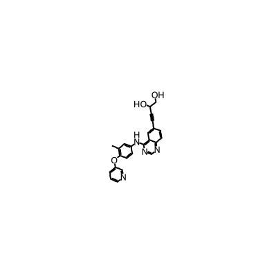 Cc1cc(Nc2ncnc3ccc(C#CC(O)CO)cc23)ccc1Oc1cccnc1